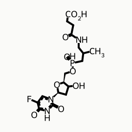 CC(CNC(=O)CCC(=O)O)C[PH](=O)OC[C@@H]1O[C@H](n2cc(F)c(=O)[nH]c2=O)CC1O